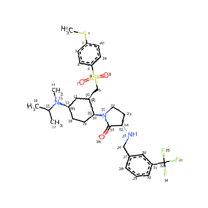 CSc1ccc(S(=O)(=O)C[C@@H]2C[C@H](N(C)C(C)C)CC[C@@H]2N2CC[C@H](NCc3cccc(C(F)(F)F)c3)C2=O)cc1